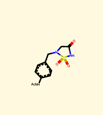 CC(=O)Nc1ccc(CN2CC(=O)NS2(=O)=O)cc1